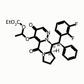 CCOC(=O)OC(C)Oc1c2n(ncc1=O)[C@@H]([C@H](c1ccccc1)c1cccc(F)c1F)[C@H]1CCCN1C2=O